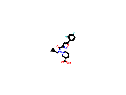 O=C(O)[C@H]1CCCN(N(CC2CC2)C(=O)c2cc(-c3ccc(F)cc3F)on2)C1